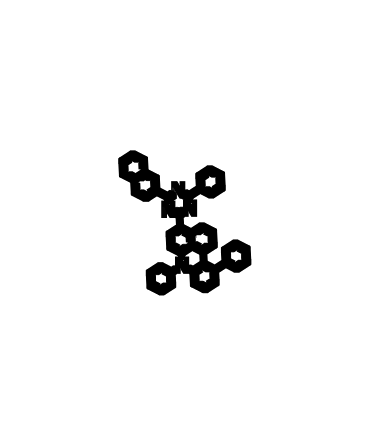 c1ccc(-c2nc(-c3ccc4ccccc4c3)nc(-c3ccc4c5c(cccc35)-c3c(-c5ccccc5)cccc3N4c3ccccc3)n2)cc1